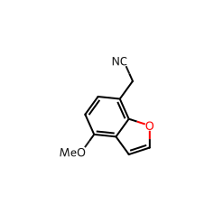 COc1ccc(CC#N)c2occc12